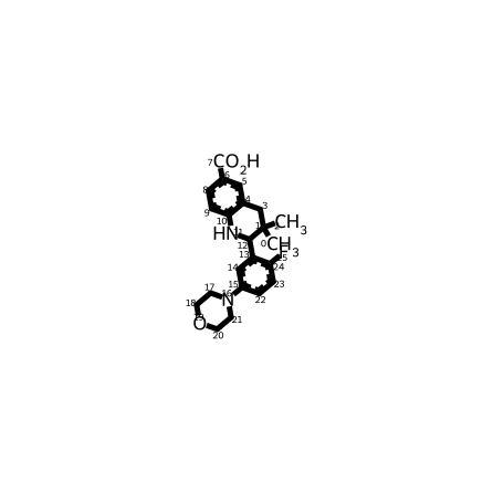 CC1(C)Cc2cc(C(=O)O)ccc2NC1c1cc(N2CCOCC2)ccc1F